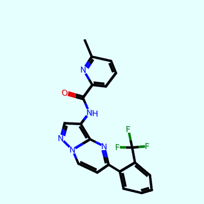 Cc1cccc(C(=O)Nc2cnn3ccc(-c4ccccc4C(F)(F)F)nc23)n1